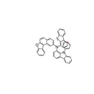 c1ccc(-n2c3ccccc3c3cccc(N(c4ccc5ccc6oc7ccccc7c6c5c4)c4cccc5c4sc4ccccc45)c32)cc1